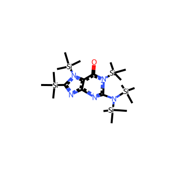 C[Si](C)(C)c1nc2nc(N([Si](C)(C)C)[Si](C)(C)C)n([Si](C)(C)C)c(=O)c2n1[Si](C)(C)C